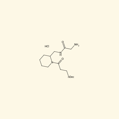 CCCCCCCCCCCCC(=O)N1CCCCC1CNC(=O)CN.Cl